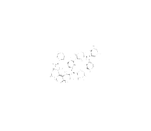 c1ccc(-c2nc3ccc4ccc5ccc(N(c6ccccc6)c6cccc(-c7cccc(N(c8ccccc8)c8ccccc8)c7)c6)cc5c4c3o2)cc1